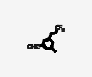 Cc1cc(C=O)cc(CCC(F)(F)F)c1